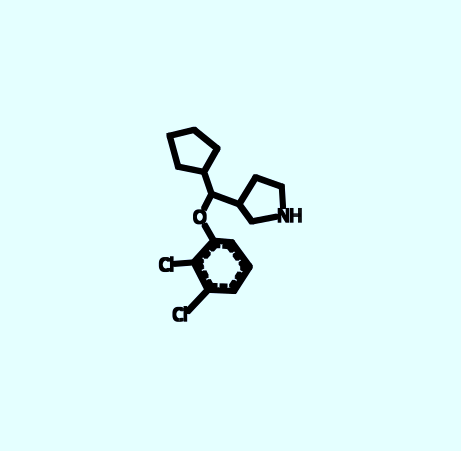 Clc1cccc(OC(C2CCCC2)C2CCNC2)c1Cl